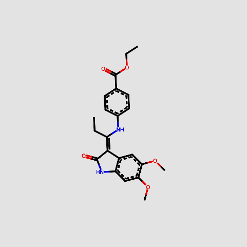 CCOC(=O)c1ccc(NC(CC)=C2C(=O)Nc3cc(OC)c(OC)cc32)cc1